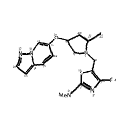 CNc1nc(F)c(CN2CC(Oc3ccc4ccnn4c3)CC2C)s1